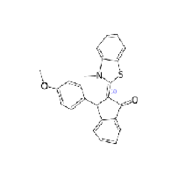 COc1ccc(C2/C(=C3/Sc4ccccc4N3C)C(=O)c3ccccc32)cc1